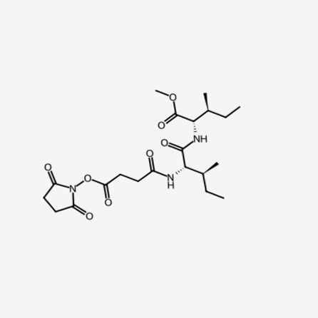 CC[C@H](C)[C@H](NC(=O)CCC(=O)ON1C(=O)CCC1=O)C(=O)N[C@H](C(=O)OC)[C@@H](C)CC